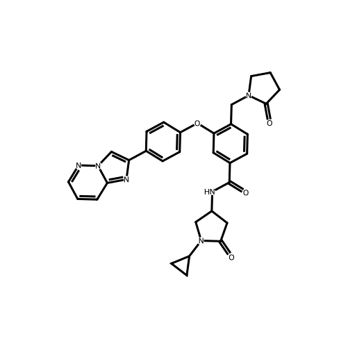 O=C(NC1CC(=O)N(C2CC2)C1)c1ccc(CN2CCCC2=O)c(Oc2ccc(-c3cn4ncccc4n3)cc2)c1